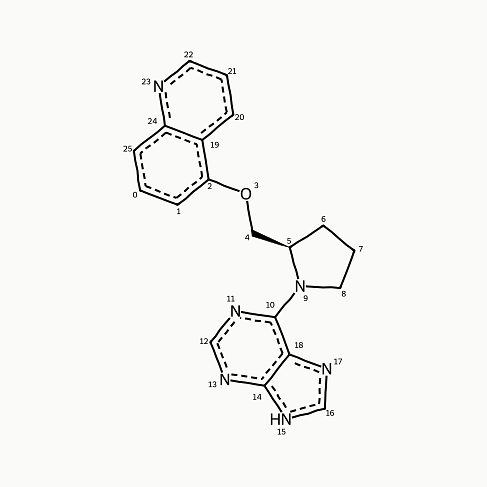 c1cc(OC[C@H]2CCCN2c2ncnc3[nH]cnc23)c2cccnc2c1